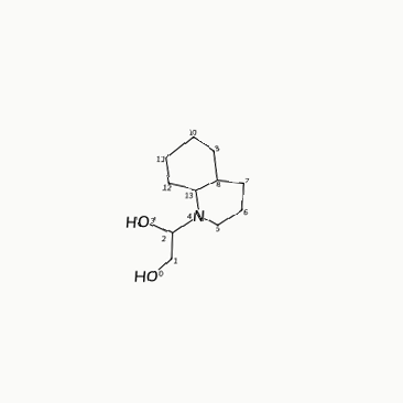 OCC(O)N1CCCC2CCCCC21